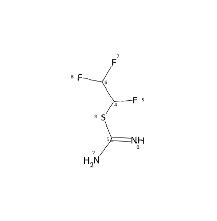 N=C(N)SC(F)C(F)F